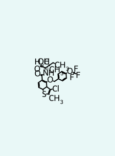 CCC(C)(C)[C@H](NC(=O)C1=C(OCc2ccc(OC(F)(F)F)cc2)C2C(Cl)=C(C)SC2C=C1)C(=O)O